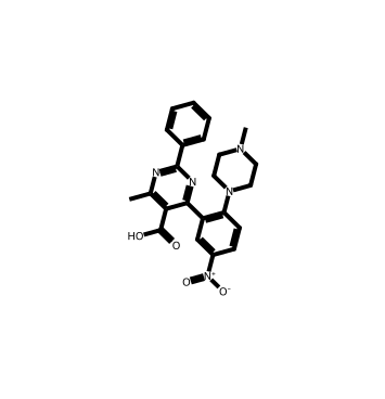 Cc1nc(-c2ccccc2)nc(-c2cc([N+](=O)[O-])ccc2N2CCN(C)CC2)c1C(=O)O